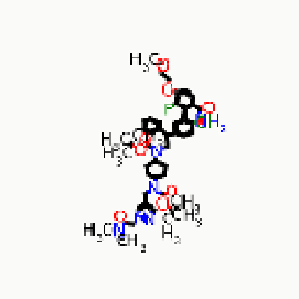 COCCOc1ccc(C(N)=O)c(-c2cc(C(CN(C(=O)OC(C)(C)C)C3CCC(N(Cc4cnn(CC(=O)N(C)C)c4)C(=O)OC(C)(C)C)CC3)c3ccccc3)ccc2Cl)c1F